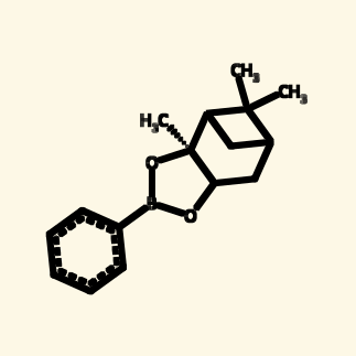 CC1(C)C2CC3OB(c4ccccc4)O[C@@]3(C)C1C2